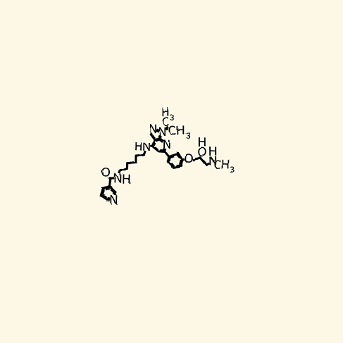 CNCC(O)COc1cccc(-c2cc(NCCCCCCNC(=O)c3cccnc3)c3cnn(C(C)C)c3n2)c1